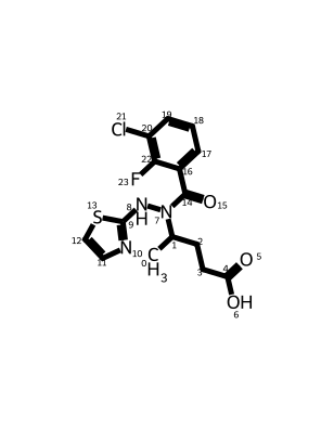 CC(CCC(=O)O)N(Nc1nccs1)C(=O)c1cccc(Cl)c1F